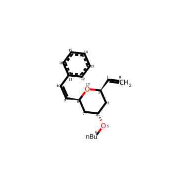 C=C[C@H]1C[C@H](OCCCC)C[C@@H](/C=C\c2ccccc2)O1